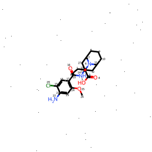 CCC(C(=O)O)N1C2CCCC1CC(NC(=O)c1cc(Cl)c(N)cc1OC)C2